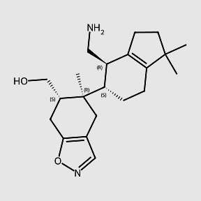 CC1(C)CCC2=C1CC[C@H]([C@@]1(C)Cc3cnoc3C[C@@H]1CO)[C@H]2CN